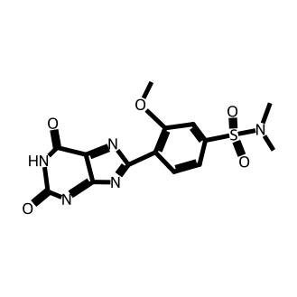 COc1cc(S(=O)(=O)N(C)C)ccc1C1=NC2=NC(=O)NC(=O)C2=N1